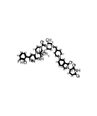 C[C@@H]1CN(CC2CCN(c3ccc4c(c3)C(=O)N([C@H]3CCC(=O)NC3=O)C4)CC2)C[C@H](C)N1C(=O)N1CCN2c3cc(-c4cccc(F)c4O)nnc3NC[C@@]2(C)C1